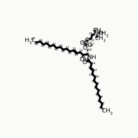 CCCCCCCCCCCCC=CCC(=O)N[C@@H](COP(=O)([O-])OCC[N+](C)(C)C)[C@H](O)CC=CCCCCCCCCCCCC